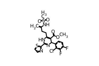 C=C(CCC1=C(C(=O)OC)C(c2ccc(F)c(F)c2Cl)N=C(c2nccs2)N1)NS(C)(=O)=O